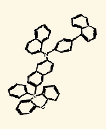 c1ccc([Si]2(c3ccc4cc(N(c5ccc(-c6cccc7ccccc67)cc5)c5cccc6ccccc56)ccc4c3)c3ccccc3Oc3ccccc32)cc1